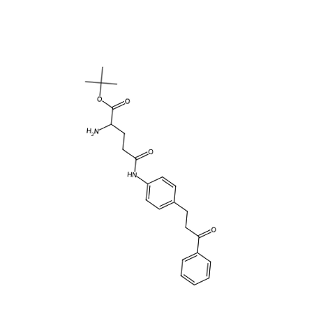 CC(C)(C)OC(=O)C(N)CCC(=O)Nc1ccc(CCC(=O)c2ccccc2)cc1